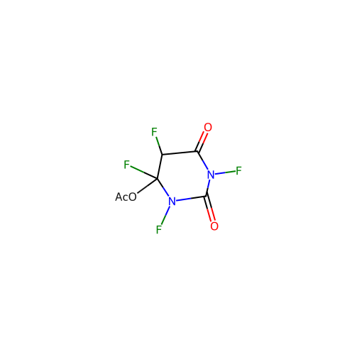 CC(=O)OC1(F)C(F)C(=O)N(F)C(=O)N1F